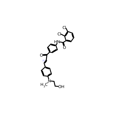 CN(CCO)c1ccc(/C=C/C(=O)c2ccc(NC(=O)c3cccc(Cl)c3Cl)cc2)cc1